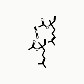 C=C=O.C=CC(C)(CCC=C(C)C)OC(C)=O.C=CC(C)(CCC=C(C)C)OC(C)=O